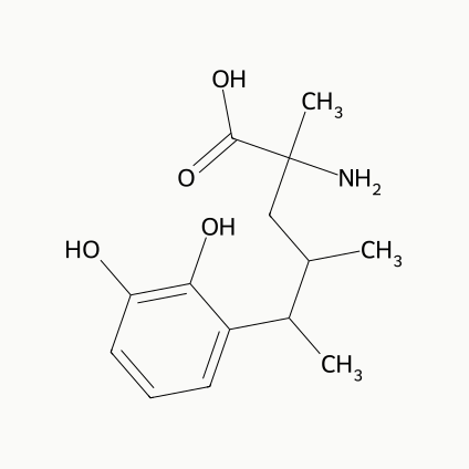 CC(CC(C)(N)C(=O)O)C(C)c1cccc(O)c1O